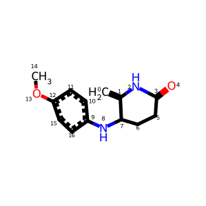 C=C1NC(=O)CCC1Nc1ccc(OC)cc1